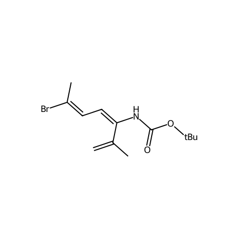 C=C(C)/C(=C\C=C(/C)Br)NC(=O)OC(C)(C)C